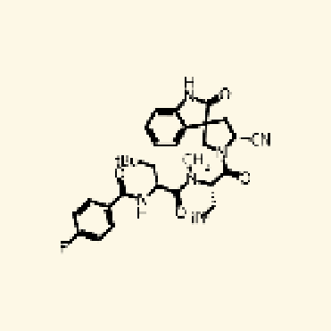 CC(C)C[C@@H](C(=O)N1C[C@]2(C[C@H]1C#N)C(=O)Nc1ccccc12)N(C)C(=O)[C@H](CC(C)(C)C)NC(=O)c1ccc(F)cc1